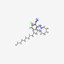 CCCCCCCCCCCCN1CCCCC/C1=N/c1cccc(F)c1C#N